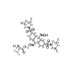 CC(C)[C@H](N)C(=O)OCON=C1c2ccc(S(=O)(=O)N3C[C@H](C)C[C@H](C)C3)cc2C(=NO)c2cc(S(=O)(=O)N3C[C@H](C)C[C@H](C)C3)ccc21